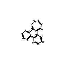 C1=CSN=C(c2ccccc2)C(c2ccccc2)=C1